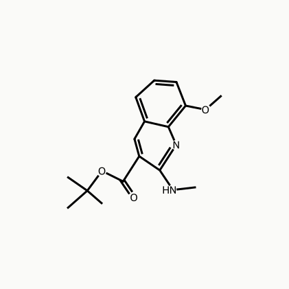 CNc1nc2c(OC)cccc2cc1C(=O)OC(C)(C)C